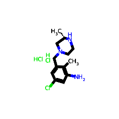 Cc1c(N)cc(Cl)cc1CN1CCN[C@@H](C)C1.Cl.Cl